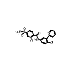 NS(=O)(=O)c1ccc(C(=O)Nc2ccc(Cl)c(-c3ccccn3)c2)c(Cl)c1